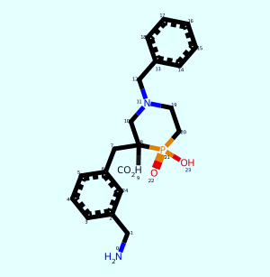 NCc1cccc(CC2(C(=O)O)CN(Cc3ccccc3)CCP2(=O)O)c1